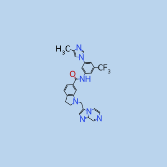 Cc1cn(-c2cc(NC(=O)c3ccc4c(c3)N(Cc3cnc5cnccn35)CC4)cc(C(F)(F)F)c2)cn1